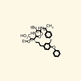 CCO[C@H](C(=O)O)[C@@H](CCCc1ccc(Oc2ccccc2)c(F)c1)C(=O)N[C@H](C(=O)N[C@H](C)c1ccccc1)C(C)(C)C